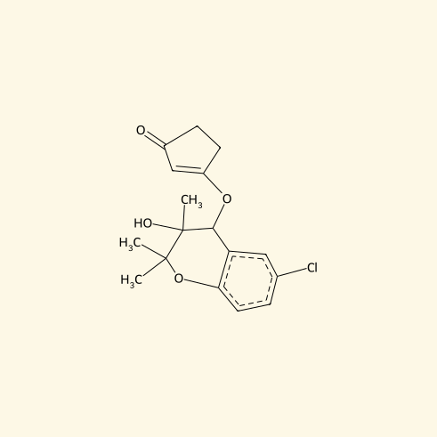 CC1(C)Oc2ccc(Cl)cc2C(OC2=CC(=O)CC2)C1(C)O